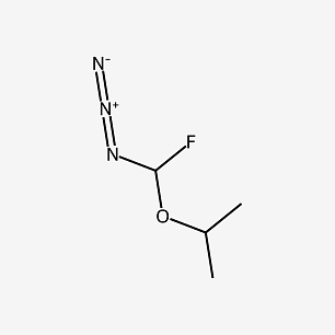 CC(C)OC(F)N=[N+]=[N-]